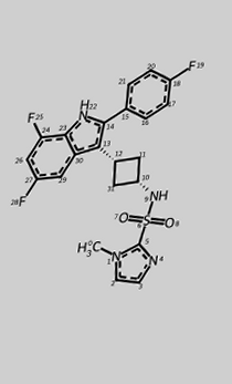 Cn1ccnc1S(=O)(=O)N[C@H]1C[C@@H](c2c(-c3ccc(F)cc3)[nH]c3c(F)cc(F)cc32)C1